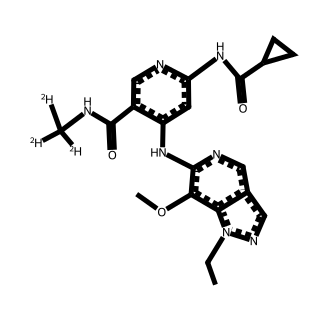 [2H]C([2H])([2H])NC(=O)c1cnc(NC(=O)C2CC2)cc1Nc1ncc2cnn(CC)c2c1OC